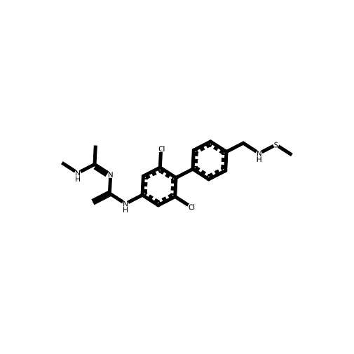 C=C(/N=C(/C)NC)Nc1cc(Cl)c(-c2ccc(CNSC)cc2)c(Cl)c1